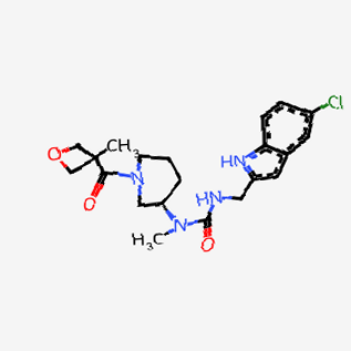 CN(C(=O)NCc1cc2cc(Cl)ccc2[nH]1)[C@@H]1CCCN(C(=O)C2(C)COC2)C1